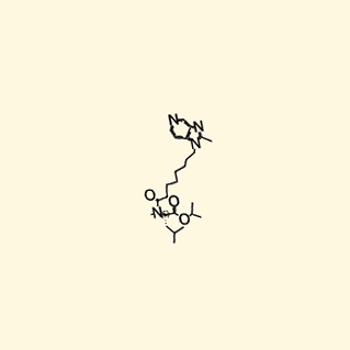 Cc1nc2cnccc2n1CCCCCCCC(=O)N(C)[C@@H](CC(C)C)C(=O)OC(C)C